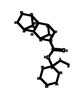 CCC1(OC(=O)C2CC3CC2C2C4CCC(C4)C32)CCCCC1